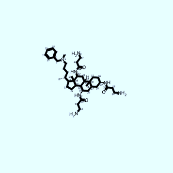 C[C@H](CCCN(C)Cc1ccccc1)C1CCC2C3[C@H](NC(=O)CCN)CC4C[C@H](NC(=O)CCN)CCC4(C)[C@H]3CC(NC(=O)CCN)C21C